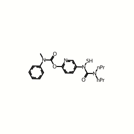 CCCN(CCC)C(=O)N(S)c1ccc(OC(=O)N(C)c2ccccc2)nc1